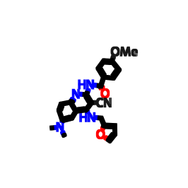 COc1ccc(C(=O)Nc2nc3ccc(N(C)C)cc3c(NCc3ccco3)c2C#N)cc1